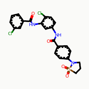 O=C(Nc1ccc(Cl)c(NC(=O)c2cccc(Cl)c2)c1)c1ccc(N2CCCS2(=O)=O)cc1